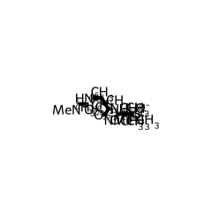 CNCC(=O)NC(C)(C)CC(C)(C)C(NC(=O)C(C)(C)C(C)(C)[S+](C)[O-])C(=O)NC